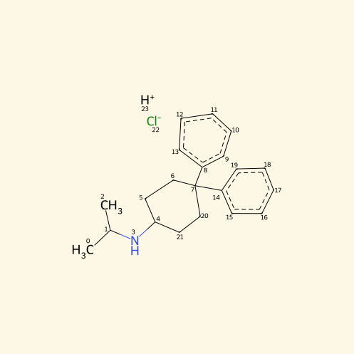 CC(C)NC1CCC(c2ccccc2)(c2ccccc2)CC1.[Cl-].[H+]